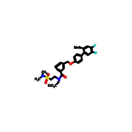 CCOC(=O)CN(CCS(=O)(=O)N(C)C)C(=O)c1cccc(COc2ccc(-c3cc(F)c(F)cc3SC)cc2)c1